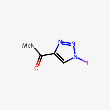 CNC(=O)c1cn(I)nn1